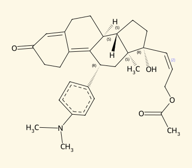 CC(=O)OC/C=C\[C@]1(O)CC[C@H]2[C@@H]3CCC4=CC(=O)CCC4=C3[C@@H](c3ccc(N(C)C)cc3)C[C@@]21C